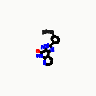 COc1cccc(-c2nc3c([nH]2)c(=O)[nH]c2ncccc23)c1